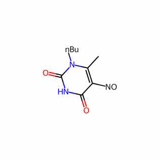 CCCCn1c(C)c(N=O)c(=O)[nH]c1=O